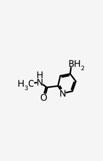 Bc1ccnc(C(=O)NC)c1